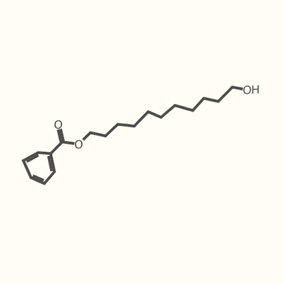 O=C(OCCCCCCCCCCCO)c1ccccc1